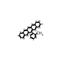 Cc1ccccc1.c1ccc2cc3cc4cc5ccccc5cc4cc3cc2c1